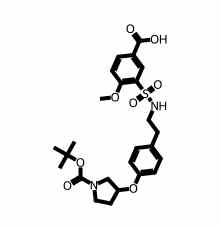 COc1ccc(C(=O)O)cc1S(=O)(=O)NCCc1ccc(OC2CCN(C(=O)OC(C)(C)C)C2)cc1